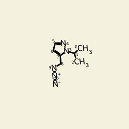 CC(C)n1nccc1CN=[N+]=[N-]